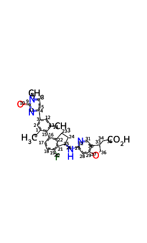 Cc1cc(-c2ccn(C)c(=O)n2)cc(C)c1-c1ccc(F)c2c1CC[C@H]2Nc1cc2c(cn1)C(CC(=O)O)CO2